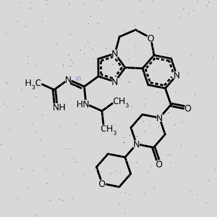 CC(=N)/N=C(\NC(C)C)c1cn2c(n1)-c1cc(C(=O)N3CCN(C4CCOCC4)C(=O)C3)ncc1OCC2